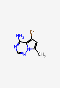 Cc1cc(Br)c2c(N)ncnn12